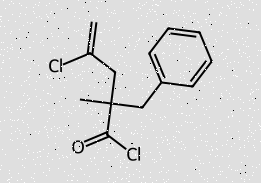 C=C(Cl)CC(C)(Cc1ccccc1)C(=O)Cl